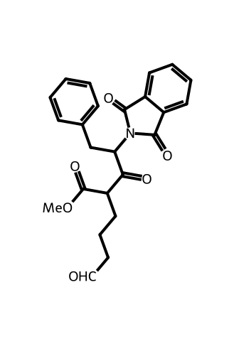 COC(=O)C(CCCC=O)C(=O)C(Cc1ccccc1)N1C(=O)c2ccccc2C1=O